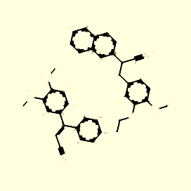 CCOc1cc(CC(C#N)c2ccc3ccccc3c2)ccc1OC.COc1ccc(C(=CC#N)c2ccccc2)cc1OC